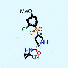 COc1ccc(S(=O)(=O)[C@H]2CN[C@H](C(=O)NC3(C#N)CC3)C2)c(Cl)c1